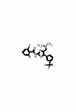 CN(C)Cc1nc(NC(=O)c2c(F)cccc2F)sc1-c1cccc(C(F)(F)F)c1